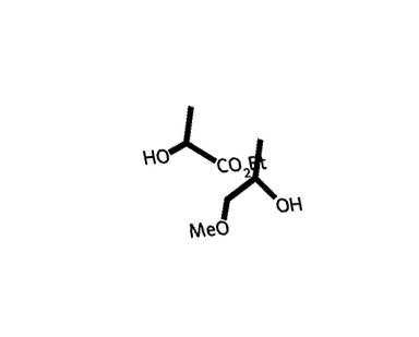 CCOC(=O)C(C)O.COCC(C)O